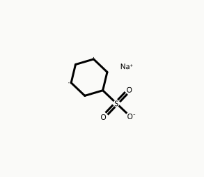 O=S(=O)([O-])C1C[CH]C[CH]C1.[Na+]